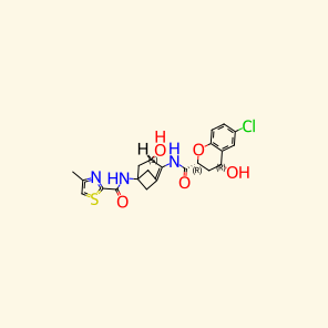 Cc1csc(C(=O)NC23CC(=C(NC(=O)[C@H]4C[C@@H](O)c5cc(Cl)ccc5O4)[C@@H](O)C2)C3)n1